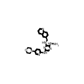 NNc1ncc(Nc2ccc(N3CCOCC3)cn2)nc1NCc1ccc2ncccc2c1